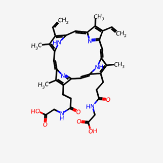 C=CC1=C(C)c2cc3[nH]c(cc4nc(cc5[nH]c(cc1n2)c(C)c5CCC(=O)NCC(=O)O)C(CCC(=O)NCC(=O)O)=C4C)c(C)c3C=C